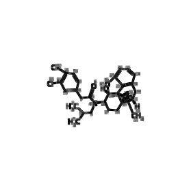 CC(C)CN(C(=O)Cc1ccc(Cl)c(Cl)c1)[C@@H]1CC[C@@]2(O)[C@H]3Cc4cccc5c4[C@@]2(CCN3C)[C@H]1O5